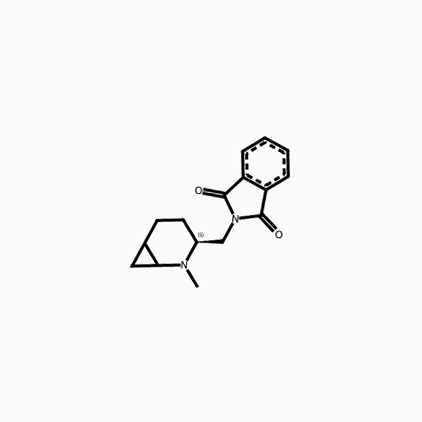 CN1C2CC2CC[C@H]1CN1C(=O)c2ccccc2C1=O